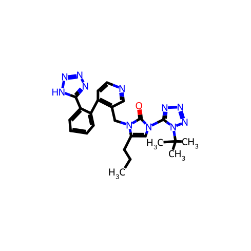 CCCc1cn(-c2nnnn2C(C)(C)C)c(=O)n1Cc1cnccc1-c1ccccc1-c1nnn[nH]1